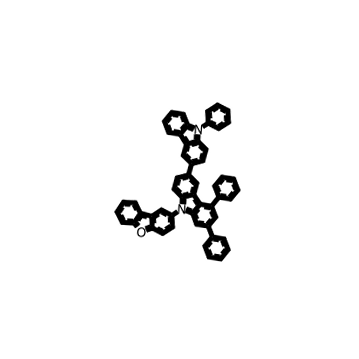 c1ccc(-c2cc(-c3ccccc3)c3c4cc(-c5ccc6c(c5)c5ccccc5n6-c5ccccc5)ccc4n(-c4ccc5oc6ccccc6c5c4)c3c2)cc1